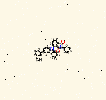 N#Cc1cccc(-c2ccc3c(c2)c2ccccc2n3-c2cccc3c2C(=O)N(c2ccccc2)C3=O)c1